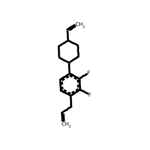 C=CCc1ccc(C2CCC(C=C)CC2)c(F)c1F